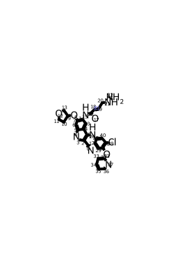 N#Cc1cnc2cc(OC3CCOC3)c(NC(=O)/C=C/CNN)cc2c1Nc1ccc(Oc2ccccn2)c(Cl)c1